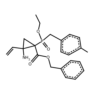 C=CC1(N)CC1(C(=O)OCc1ccccc1)P(=O)(Cc1ccc(C)cc1)OCC